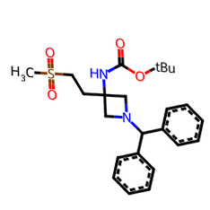 CC(C)(C)OC(=O)NC1(CCS(C)(=O)=O)CN(C(c2ccccc2)c2ccccc2)C1